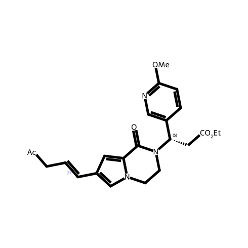 CCOC(=O)C[C@@H](c1ccc(OC)nc1)N1CCn2cc(/C=C/CC(C)=O)cc2C1=O